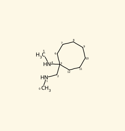 CNCC1(NC)CCCCCCC1